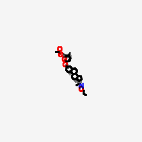 CCCO/N=C(\C)[C@H]1CCC2C3CC=C4C[C@@H](OC5C=C[C@H](C)[C@@H](COC(C)=O)O5)CC[C@]4(C)C3CC[C@@]21C